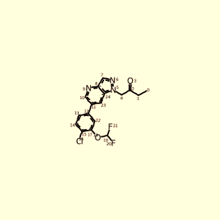 CCC(=O)Cn1ncc2ncc(-c3ccc(Cl)c(OC(F)F)c3)cc21